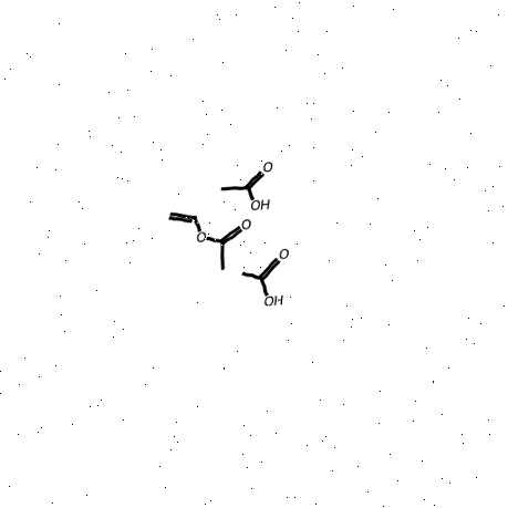 C=COC(C)=O.CC(=O)O.CC(=O)O